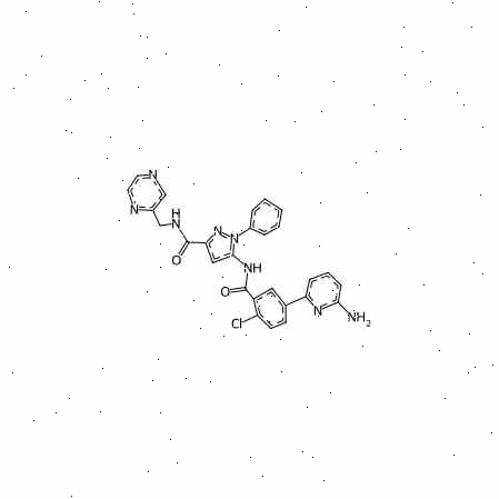 Nc1cccc(-c2ccc(Cl)c(C(=O)Nc3cc(C(=O)NCc4cnccn4)nn3-c3ccccc3)c2)n1